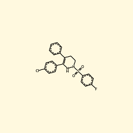 O=S(=O)(c1ccc(F)cc1)N1CCC(c2ccccc2)=C(c2ccc(Cl)cc2)N1